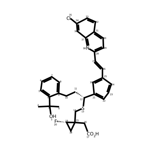 CC(C)(O)c1ccccc1CC[C@@H](SCC1(CC(=O)O)C[C@@H]1F)c1cccc(/C=C/c2ccc3ccc(Cl)cc3n2)c1